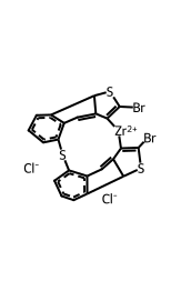 BrC1=[C]2[Zr+2][C]3=C(Br)SC4C3=Cc3c(cccc34)Sc3cccc4c3C=C2C4S1.[Cl-].[Cl-]